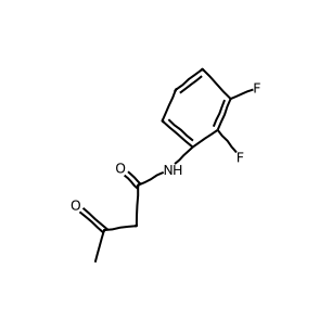 CC(=O)CC(=O)Nc1cccc(F)c1F